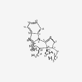 CCC1CC=C(n2c(N)nc3ccccc32)[C@@]1(C)C(C)C